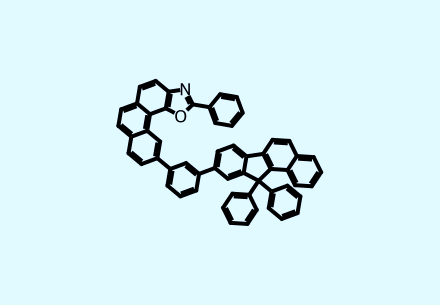 c1ccc(-c2nc3ccc4ccc5ccc(-c6cccc(-c7ccc8c(c7)C(c7ccccc7)(c7ccccc7)c7c-8ccc8ccccc78)c6)cc5c4c3o2)cc1